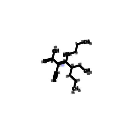 CCCN/C(=C(/C#N)C(=O)O)C(CC)CSC